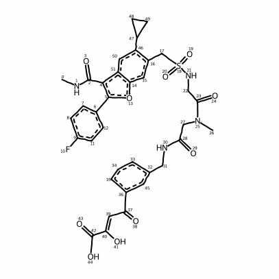 CNC(=O)c1c(-c2ccc(F)cc2)oc2cc(CS(=O)(=O)NCC(=O)N(C)CC(=O)NCc3cccc(C(=O)/C=C(\O)C(=O)O)c3)c(C3CC3)cc12